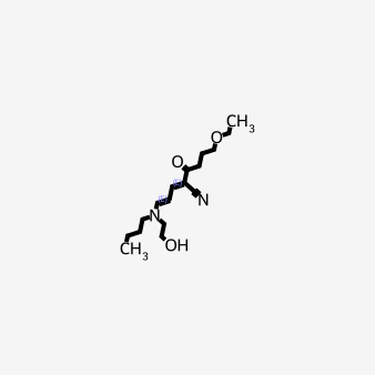 CCCCN(/C=C/C=C(\C#N)C(=O)CCCOCC)CCO